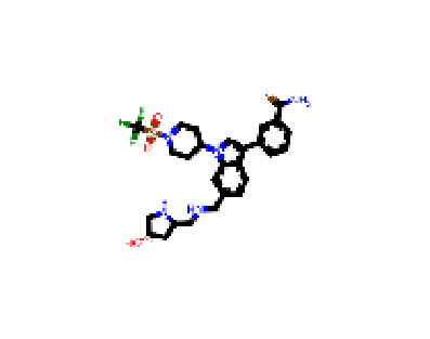 NC(=S)c1cccc(-c2cn(C3CCN(S(=O)(=O)C(F)(F)F)CC3)c3cc(CNCC4C[C@H](O)CN4)ccc23)c1